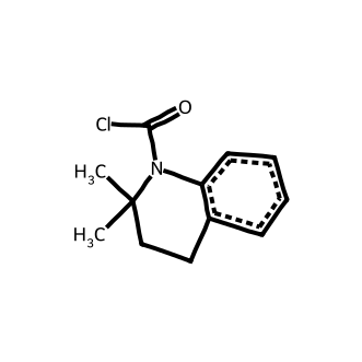 CC1(C)CCc2ccccc2N1C(=O)Cl